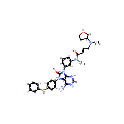 CN(C(=O)/C=C/CN(C)C1CCOC1)c1cccc(-n2c(=O)n(-c3ccc(Oc4cccc(F)c4)cc3)c3c(N)ncnc32)c1